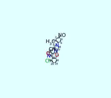 Cc1cc(N=O)ccc1N1CCN(C(=O)c2c(-c3ccccc3Cl)noc2C)CC1